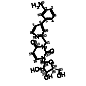 Nc1cccc(-c2ccnc(Cn3c(=O)ccn([C@@H]4O[C@H](CO)C(O)C4O)c3=O)c2)c1